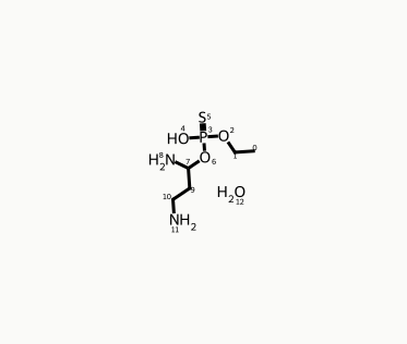 CCOP(O)(=S)OC(N)CCN.O